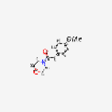 COc1ccc(CC(=O)N2CCOCC2)cc1